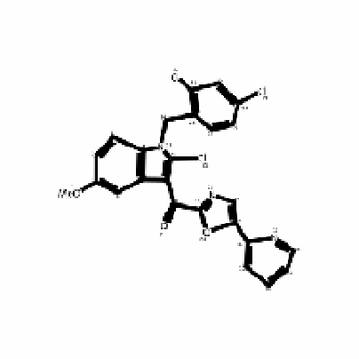 COc1ccc2c(c1)c(C(=O)c1ncc(-c3ccccn3)o1)c(Cl)n2Cc1ccc(Cl)cc1Cl